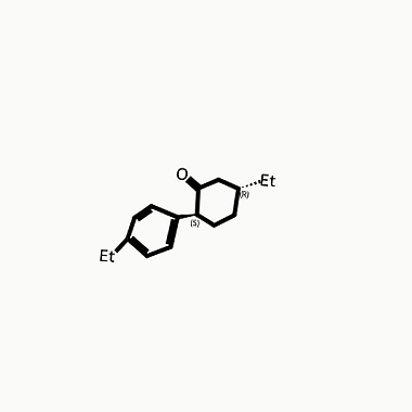 CCc1ccc([C@@H]2CC[C@@H](CC)CC2=O)cc1